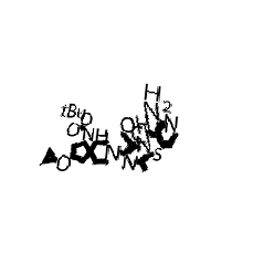 Cc1nc(N2CCC3(CC2)C[C@@H](OC2CC2)C[C@H]3NC(=O)OC(C)(C)C)c(CO)nc1Sc1ccnc(N)c1Cl